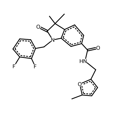 Cc1ccc(CNC(=O)c2ccc3c(c2)N(Cc2cccc(F)c2F)C(=O)C3(C)C)o1